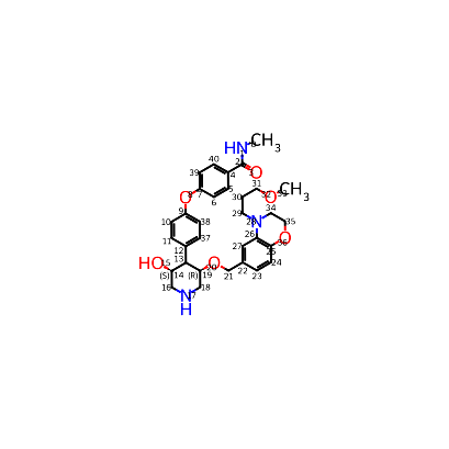 CNC(=O)c1ccc(Oc2ccc(C3[C@H](O)CNC[C@@H]3OCc3ccc4c(c3)N(CCCOC)CCO4)cc2)cc1